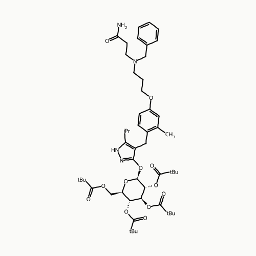 Cc1cc(OCCCN(CCC(N)=O)Cc2ccccc2)ccc1Cc1c(O[C@@H]2O[C@H](COC(=O)C(C)(C)C)[C@@H](OC(=O)C(C)(C)C)[C@H](OC(=O)C(C)(C)C)[C@H]2OC(=O)C(C)(C)C)n[nH]c1C(C)C